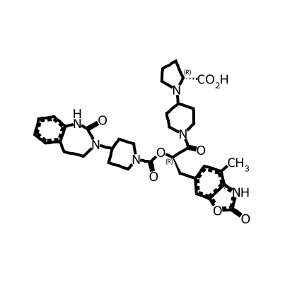 Cc1cc(C[C@@H](OC(=O)N2CCC(N3CCc4ccccc4NC3=O)CC2)C(=O)N2CCC(N3CCC[C@@H]3C(=O)O)CC2)cc2oc(=O)[nH]c12